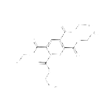 CCCCCCCCCCCOC(=O)c1cc(C(=O)OCCCCCCCCCCC)c(C(=O)OCCCCCCCCCCC)cc1C(=O)OCCCCCCCCCCC